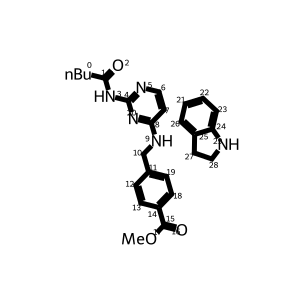 CCCCC(=O)Nc1nccc(NCc2ccc(C(=O)OC)cc2)n1.c1ccc2c(c1)CCN2